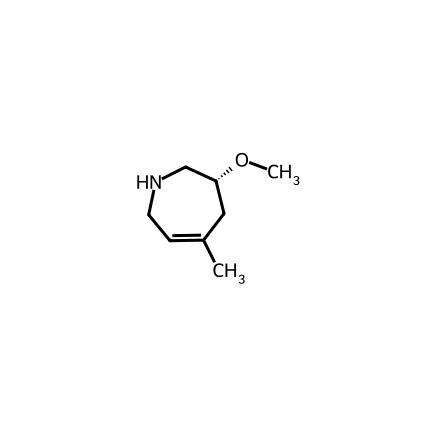 CO[C@H]1CNCC=C(C)C1